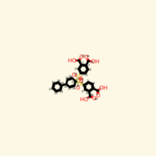 O=C(O)c1ccc(S(=O)(=O)C2(S(=O)(=O)c3ccc(C(=O)O)c(C(=O)O)c3)C=CC(c3ccccc3)C=C2)cc1C(=O)O